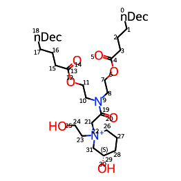 CCCCCCCCCCCCCC(=O)OCCN(CCOC(=O)CCCCCCCCCCCCC)C(=O)C[N+]1(CCO)CCC[C@H](O)C1